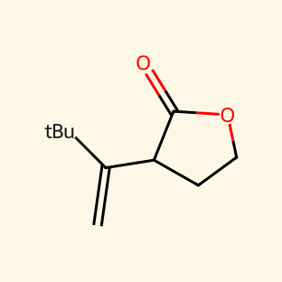 C=C(C1CCOC1=O)C(C)(C)C